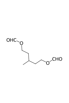 CC(CCOC=O)CCOC=O